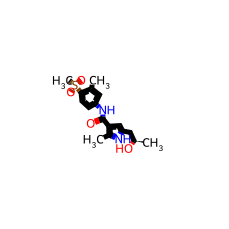 Cc1cc(NC(=O)c2cc(C[C@H](C)O)[nH]c2C)ccc1S(C)(=O)=O